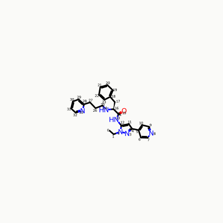 CCn1nc(-c2ccncc2)cc1NC(=O)[C@H](Cc1ccccc1)NCCCc1ccccn1